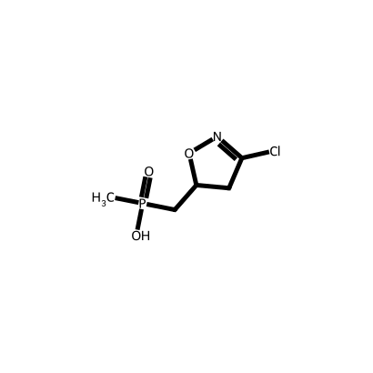 CP(=O)(O)CC1CC(Cl)=NO1